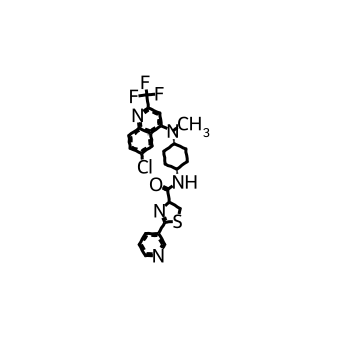 CN(c1cc(C(F)(F)F)nc2ccc(Cl)cc12)[C@H]1CC[C@@H](NC(=O)C2CSC(c3cccnc3)=N2)CC1